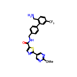 COc1ncc(-c2ncc(C(=O)NCc3ccc(-c4cc(C(F)(F)F)ccc4CN)cc3)s2)cn1